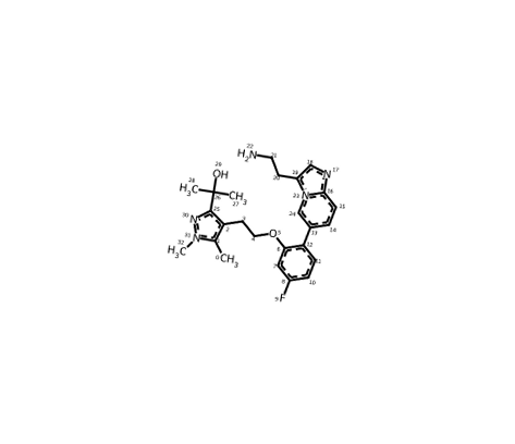 Cc1c(CCOc2cc(F)ccc2-c2ccc3ncc(CCN)n3c2)c(C(C)(C)O)nn1C